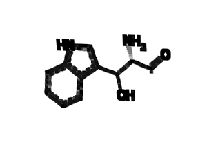 N[C@H]([C]=O)C(O)c1c[nH]c2ccccc12